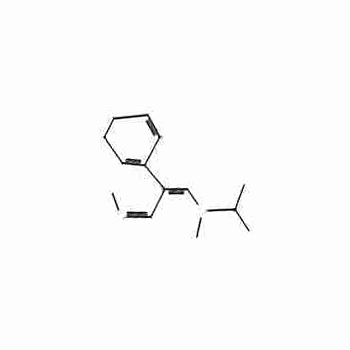 C/N=C\C(=C/N(C)C(C)C)C1=CCCC=C1